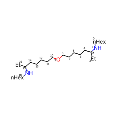 CCCCCCNC(CC)CCCCCOCCCCCC(CC)NCCCCCC